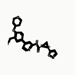 O=C(Nc1cc(-c2ccc(OC3CCOCC3)c(CI)c2)ccn1)[C@@H]1C[C@H]1c1ccno1